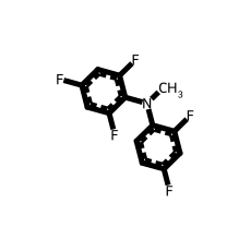 CN(c1ccc(F)cc1F)c1c(F)cc(F)cc1F